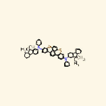 CC1(C)C2=C(C=CCC2)c2ccc(N(c3ccccc3)c3ccc4c(c3)Sc3ccc5c6c(ccc-4c36)-c3ccc(N(c4ccccc4)c4ccc6c(c4)C(C)(C)c4ccccc4-6)cc3S5)cc21